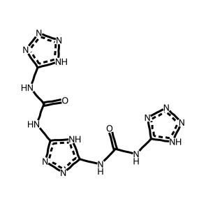 O=C(Nc1nnn[nH]1)Nc1nnc(NC(=O)Nc2nnn[nH]2)[nH]1